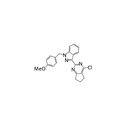 COc1ccc(Cn2nc(-c3nc(Cl)c4c(n3)CCC4)c3ccccc32)cc1